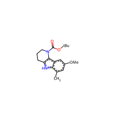 COc1cc(C)c2[nH]c3c(c2c1)N(C(=O)OC(C)(C)C)CCC3